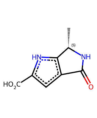 C[C@@H]1NC(=O)c2cc(C(=O)O)[nH]c21